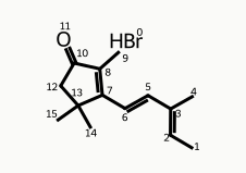 Br.CC=C(C)C=CC1=C(C)C(=O)CC1(C)C